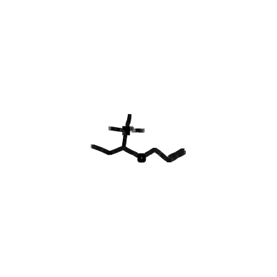 C=CCOC(CC)[N+](C)(C)C